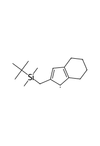 CC(C)(C)[Si](C)(C)CC1=CC2=C([CH]1)CCCC2